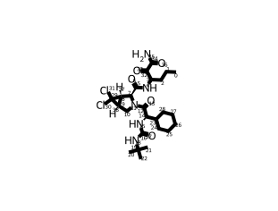 CCCC(NC(=O)[C@@H]1[C@H]2[C@@H](CN1C(=O)[C@@H](NC(=O)NC(C)(C)C)C1CCCCC1)C2(Cl)Cl)C(=O)C(N)=O